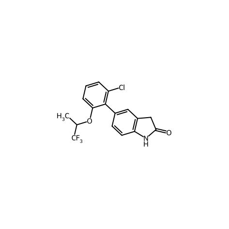 CC(Oc1cccc(Cl)c1-c1ccc2c(c1)CC(=O)N2)C(F)(F)F